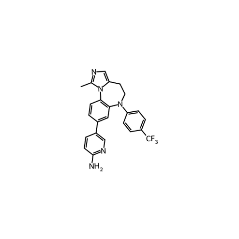 Cc1ncc2n1-c1ccc(-c3ccc(N)nc3)cc1N(c1ccc(C(F)(F)F)cc1)CC2